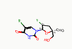 O=C[C@@]1(CO)C[C@H](F)[C@H](n2cc(F)c(=O)[nH]c2=O)O1